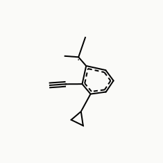 C#Cc1c([C](C)C)cccc1C1CC1